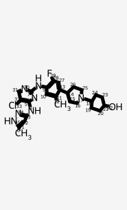 Cc1cc(Nc2nc(Nc3cc(C)c(C4CCN(C5CCC(O)CC5)CC4)cc3F)ncc2Cl)n[nH]1